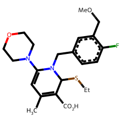 CCSC1C(C(=O)O)=C(C)C=C(N2CCOCC2)N1Cc1ccc(F)c(COC)c1